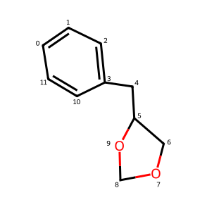 c1ccc(CC2COCO2)cc1